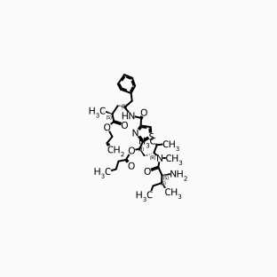 C=CCOC(=O)[C@@H](C)C[C@H](Cc1ccccc1)NC(=O)c1csc([C@@H](C[C@H](C(C)C)N(C)C(=O)[C@@H](N)[C@@H](C)CC)OC(=O)CCC)n1